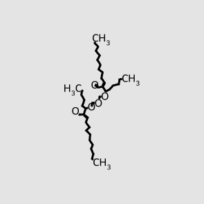 CCCCCCCCCCC=C(C=O)C(CCCCC)OCOCOC(CCCCC)C(C=O)=CCCCCCCCCCC